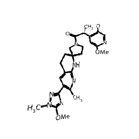 COc1cc([C@@H](C)C(=O)N2CCC3(CCc4cc(-c5nc(OC)n(C)n5)c(C)nc4N3)C2)c(Cl)cn1